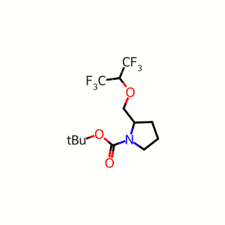 CC(C)(C)OC(=O)N1CCCC1COC(C(F)(F)F)C(F)(F)F